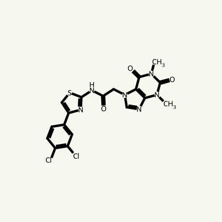 Cn1c(=O)c2c(ncn2CC(=O)Nc2nc(-c3ccc(Cl)c(Cl)c3)cs2)n(C)c1=O